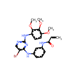 C=CC(=O)Nc1cccc(Nc2nc(Nc3ccc(OC)c(OC)c3OC)ncc2Br)c1